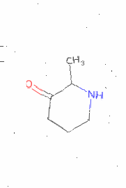 CC1NCCCC1=O